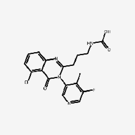 Cc1c(F)cncc1-n1c(CCCNC(=O)O)nc2cccc(Cl)c2c1=O